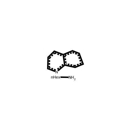 CCCCCCN.c1ccc2ncccc2c1